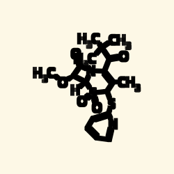 CO[C@H]1C(=O)N2C(C(=O)C(C)(C)C)=C(C)C(Sc3ccccn3)S(=O)(=O)[C@H]12